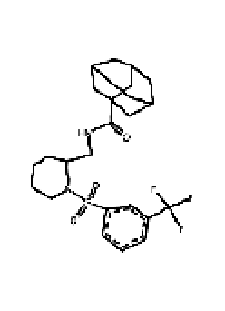 O=C(NCC1CCCCN1S(=O)(=O)c1cccc(C(F)(F)F)c1)C12CC3CC(CC(C3)C1)C2